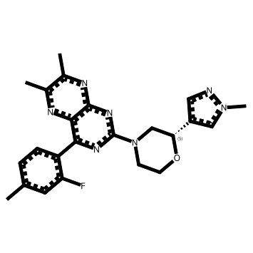 Cc1ccc(-c2nc(N3CCO[C@@H](c4cnn(C)c4)C3)nc3nc(C)c(C)nc23)c(F)c1